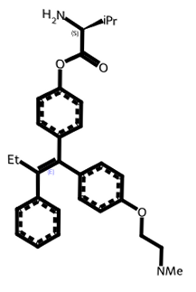 CC/C(=C(/c1ccc(OCCNC)cc1)c1ccc(OC(=O)[C@@H](N)C(C)C)cc1)c1ccccc1